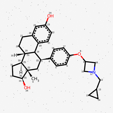 C[C@]12C[C@H](c3ccc(OC4CN(CC5CC5)C4)cc3)C3c4ccc(O)cc4CC[C@H]3[C@@H]1CC[C@@H]2O